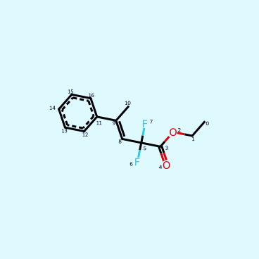 CCOC(=O)C(F)(F)/C=C(\C)c1ccccc1